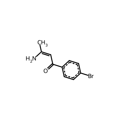 CC(N)=CC(=O)c1ccc(Br)cc1